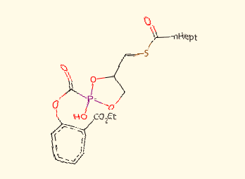 CCCCCCCC(=O)SCC1CO[P](O)(C(=O)Oc2ccccc2C(=O)OCC)O1